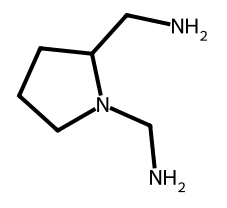 NCC1CCCN1CN